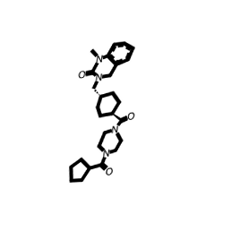 CN1C(=O)N(C[C@H]2CC[C@H](C(=O)N3CCN(C(=O)C4CCCC4)CC3)CC2)Cc2ccccc21